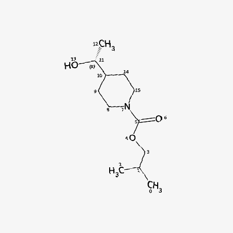 CC(C)COC(=O)N1CCC([C@@H](C)O)CC1